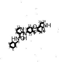 O=C(NCc1ccccc1)c1cccnc1Nc1ccc(Oc2ccnc3[nH]ccc23)c(F)c1